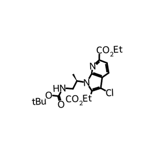 CCOC(=O)c1ccc2c(Cl)c(C(=O)OCC)n([C@H](C)CNC(=O)OC(C)(C)C)c2n1